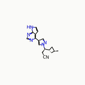 C[C@H]1C[C@H]([C@@H](CC#N)n2cc(-c3ncnc4[nH]ccc34)cn2)C1